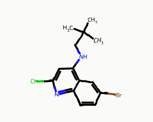 CC(C)(C)CNc1cc(Cl)nc2ccc(Br)cc12